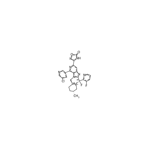 C[C@@](F)(c1ncccc1F)c1nc2cc(-c3noc(=O)[nH]3)nc(-c3cncc(Cl)c3)c2n1C[C@H]1CC[C@H](C)CC1